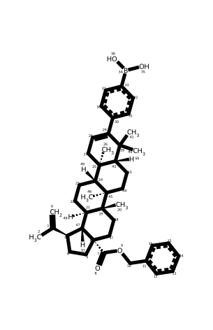 C=C(C)[C@@H]1CC[C@]2(C(=O)OCc3ccccc3)CC[C@]3(C)[C@H](CC[C@@H]4[C@@]5(C)CC=C(c6ccc(B(O)O)cc6)C(C)(C)[C@@H]5CC[C@]43C)[C@@H]12